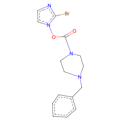 O=C(On1ccnc1Br)N1CCN(Cc2ccccc2)CC1